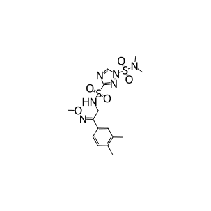 CO/N=C(\CNS(=O)(=O)c1ncn(S(=O)(=O)N(C)C)n1)c1ccc(C)c(C)c1